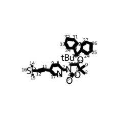 CC1(C)OC(=O)N(c2ccc(C#C[Si](C)(C)C)cn2)CC1OC(c1ccccc1)(c1ccccc1)C(C)(C)C